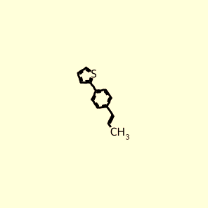 C/C=C/c1ccc(-c2cccs2)cc1